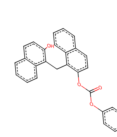 O=C(Oc1ccccc1)Oc1ccc2ccccc2c1Cc1c(O)ccc2ccccc12